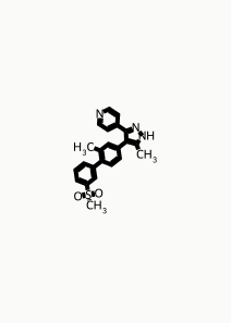 Cc1cc(-c2c(-c3ccncc3)n[nH]c2C)ccc1-c1cccc(S(C)(=O)=O)c1